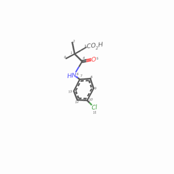 CC(C)(C(=O)O)C(=O)Nc1ccc(Cl)cc1